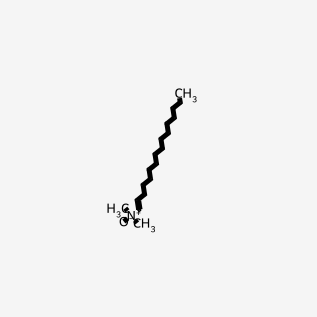 CCCCCCCCCCCCCCC=C[N+](C)(C)[O-]